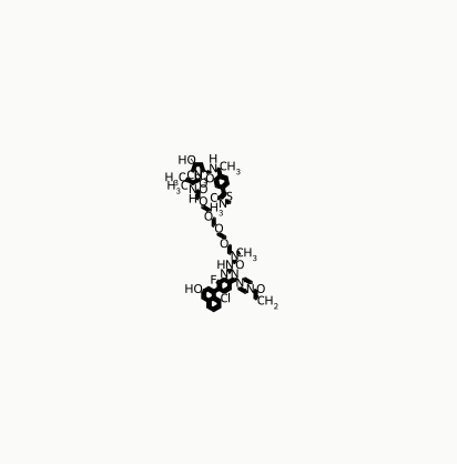 C=CC(=O)N1CCN(c2nc(NC(=O)N(C)CCOCCOCCOCCOCC(=O)N[C@H](C(=O)N3C[C@H](O)C[C@H]3C(=O)N[C@@H](C)c3ccc(-c4scnc4C)cc3)C(C)(C)C)nc3c(F)c(-c4cc(O)cc5ccccc45)c(Cl)cc23)CC1